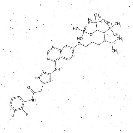 CC(C)N(CCCOc1ccc2c(Nc3cc(CC(=O)Nc4cccc(F)c4F)[nH]n3)ncnc2c1)C(C(OP(=O)(O)O)C(C)(C)C)C(C)(C)C